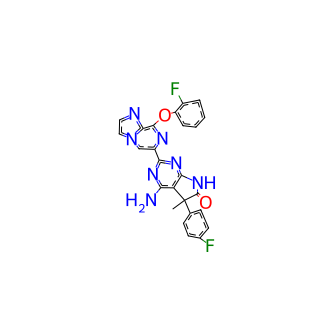 CC1(c2ccc(F)cc2)C(=O)Nc2nc(-c3cn4ccnc4c(Oc4ccccc4F)n3)nc(N)c21